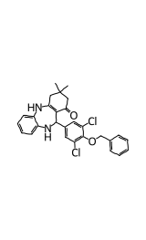 CC1(C)CC(=O)C2=C(C1)Nc1ccccc1NC2c1cc(Cl)c(OCc2ccccc2)c(Cl)c1